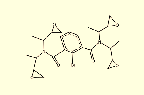 CC(C1CO1)N(C(=O)c1cccc(C(=O)N(C(C)C2CO2)C(C)C2CO2)c1Br)C(C)C1CO1